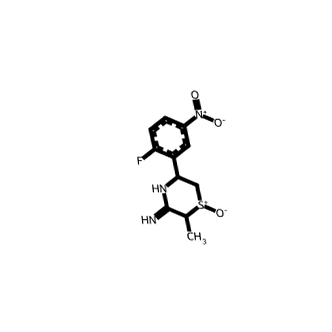 CC1C(=N)NC(c2cc([N+](=O)[O-])ccc2F)C[S+]1[O-]